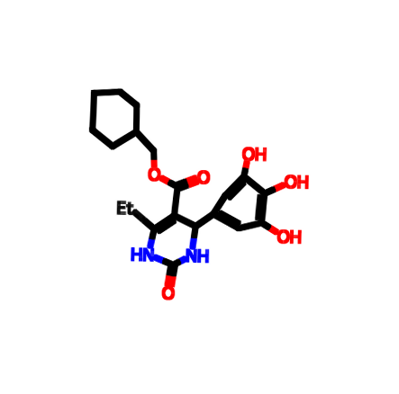 CCC1=C(C(=O)OCC2CCCCC2)C(c2cc(O)c(O)c(O)c2)NC(=O)N1